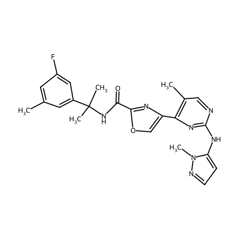 Cc1cc(F)cc(C(C)(C)NC(=O)c2nc(-c3nc(Nc4ccnn4C)ncc3C)co2)c1